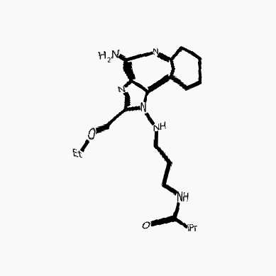 CCOCc1nc2c(N)nc3c(c2n1NCCCNC(=O)C(C)C)CCCC3